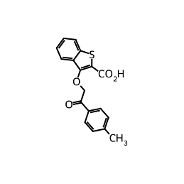 Cc1ccc(C(=O)COc2c(C(=O)O)sc3ccccc23)cc1